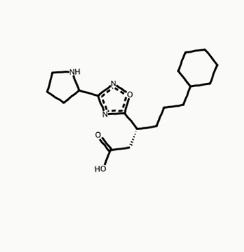 O=C(O)C[C@@H](CCCC1CCCCC1)c1nc(C2CCCN2)no1